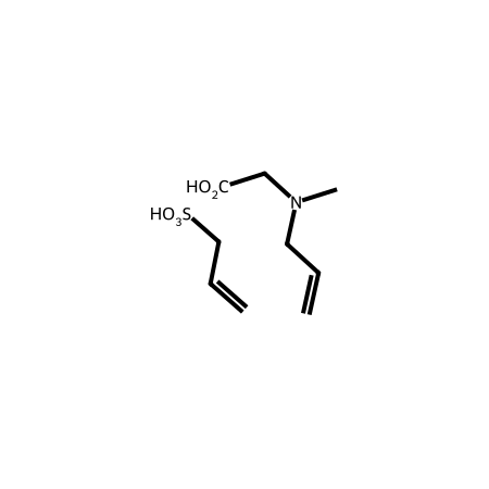 C=CCN(C)CC(=O)O.C=CCS(=O)(=O)O